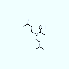 CC(C)CCN(CCC(C)C)C(C)O